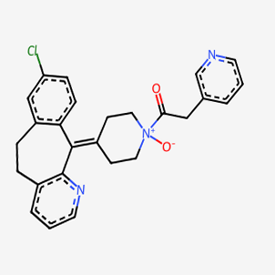 O=C(Cc1cccnc1)[N+]1([O-])CCC(=C2c3ccc(Cl)cc3CCc3cccnc32)CC1